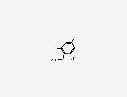 Fc1ccc([CH2][Zn+])c(F)c1.[Cl-]